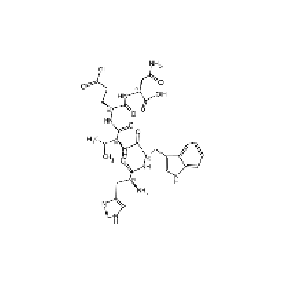 CC(C)[C@H](NC(=O)[C@H](Cc1c[nH]c2ccccc12)NC(=O)[C@@H](N)Cc1c[nH]cn1)C(=O)N[C@@H](CCC(=O)O)C(=O)N[C@@H](CC(N)=O)C(=O)O